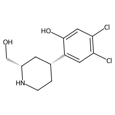 OC[C@@H]1C[C@H](c2cc(Cl)c(Cl)cc2O)CCN1